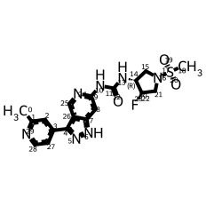 Cc1cc(-c2n[nH]c3cc(NC(=O)N[C@@H]4CN(S(C)(=O)=O)C[C@H]4F)ncc23)ccn1